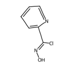 O/N=C(\Cl)c1ccccn1